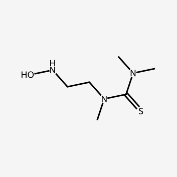 CN(C)C(=S)N(C)CCNO